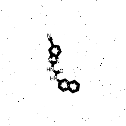 N#Cc1ccc2nc(NC(=O)Nc3ccc4ccccc4c3)sc2c1